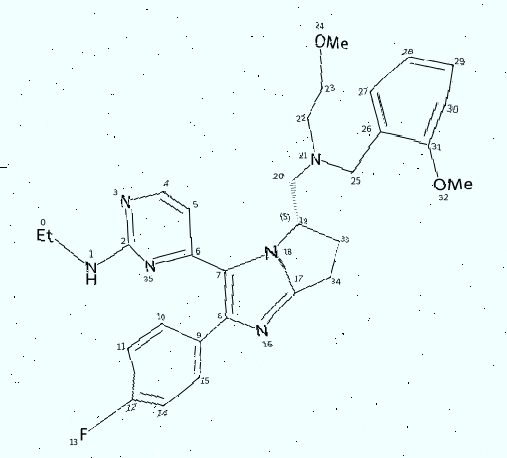 CCNc1nccc(-c2c(-c3ccc(F)cc3)nc3n2[C@H](CN(CCOC)Cc2ccccc2OC)CC3)n1